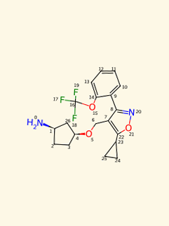 N[C@@H]1CC[C@H](OCc2c(-c3ccccc3OC(F)(F)F)noc2C2CC2)C1